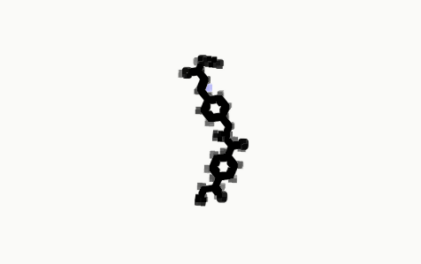 COC(=O)/C=C/c1ccc(CNC(=O)c2ccc(C(=O)CBr)cc2)cc1